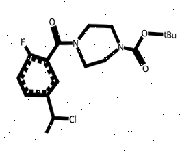 CC(Cl)c1ccc(F)c(C(=O)N2CCN(C(=O)OC(C)(C)C)CC2)c1